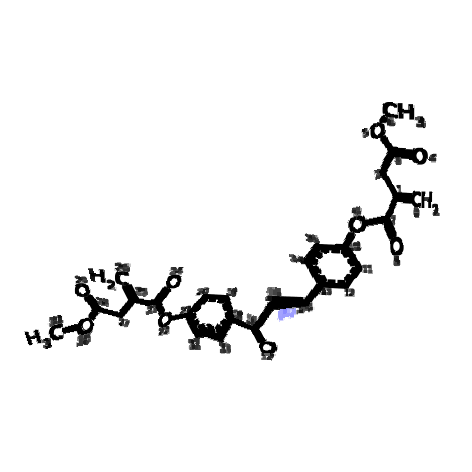 C=C(CC(=O)OC)C(=O)Oc1ccc(/C=C/C(=O)c2ccc(OC(=O)C(=C)CC(=O)OC)cc2)cc1